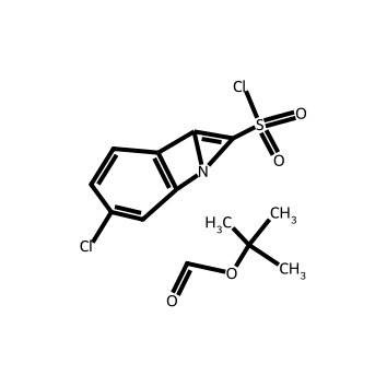 CC(C)(C)OC=O.O=S(=O)(Cl)c1c2c3ccc(Cl)cc3n1-2